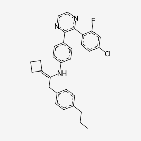 CCCc1ccc(CC(Nc2ccc(-c3nccnc3-c3ccc(Cl)cc3F)cc2)=C2CCC2)cc1